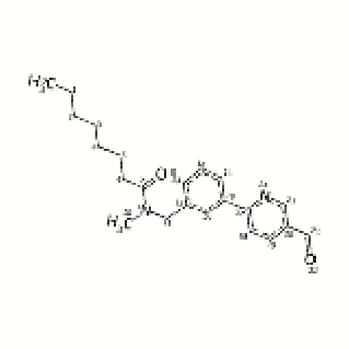 CCCCCCCC(=O)N(C)Cc1cccc(-c2ccc(C=O)cn2)c1